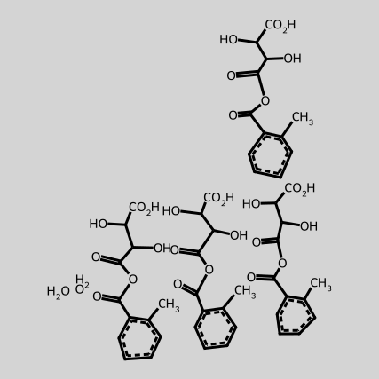 Cc1ccccc1C(=O)OC(=O)C(O)C(O)C(=O)O.Cc1ccccc1C(=O)OC(=O)C(O)C(O)C(=O)O.Cc1ccccc1C(=O)OC(=O)C(O)C(O)C(=O)O.Cc1ccccc1C(=O)OC(=O)C(O)C(O)C(=O)O.O.O